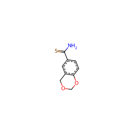 NC(=S)c1ccc2c(c1)COCO2